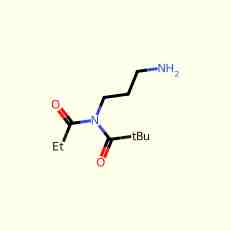 CCC(=O)N(CCCN)C(=O)C(C)(C)C